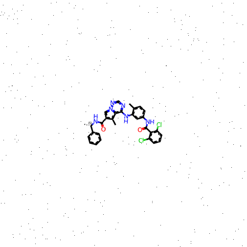 Cc1ccc(NC(=O)c2c(Cl)cccc2Cl)cc1Nc1ncnn2cc(C(=O)N[C@@H](C)c3ccccc3)c(C)c12